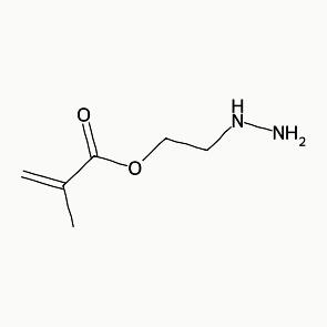 C=C(C)C(=O)OCCNN